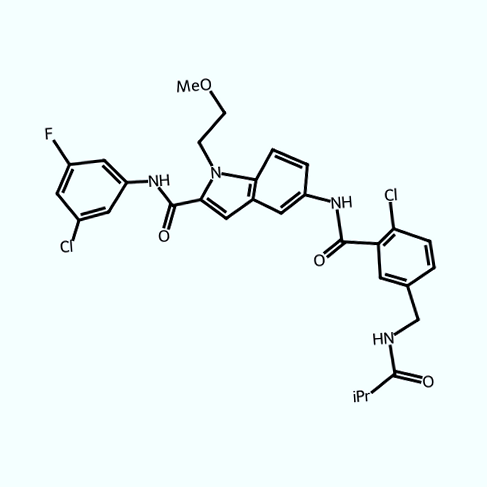 COCCn1c(C(=O)Nc2cc(F)cc(Cl)c2)cc2cc(NC(=O)c3cc(CNC(=O)C(C)C)ccc3Cl)ccc21